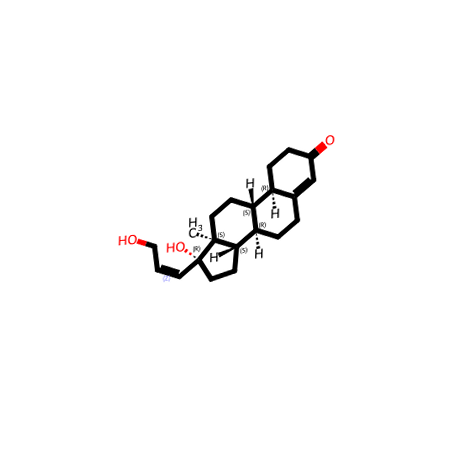 C[C@]12CC[C@H]3[C@@H](CCC4=CC(=O)CC[C@@H]43)[C@@H]1CC[C@@]2(O)/C=C\CO